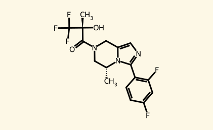 C[C@@H]1CN(C(=O)[C@@](C)(O)C(F)(F)F)Cc2cnc(-c3ccc(F)cc3F)n21